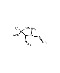 C=CCN(N)C(C=C)[Si](C)(OC)OC